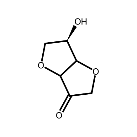 O=C1COC2C1OC[C@H]2O